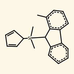 Cc1cccc2c1C([Si](C)(C)C1C=CC=C1)c1ccccc1-2